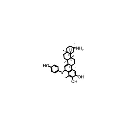 Cc1c(O)c(O)cc2c1C(Sc1ccc(O)cc1)C=C1[C@@]2(C)CC[C@@]2(C)[C@@H]3C[C@](C)(N)CC[C@]3(C)CC[C@]12C